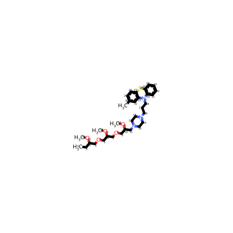 CCC(COCC(COCC(CN1CCN(CCCN2c3ccccc3Sc3ccc(C)cc32)CC1)OC)OC)OC